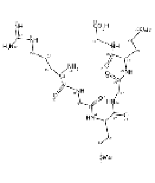 CSCCC(NC(=O)CNC(=O)C(N)CCCNC(=N)N)C(=O)NCC(=O)NC(CCSC)C(=O)NCC(=O)O